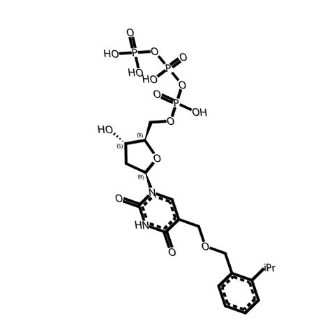 CC(C)c1ccccc1COCc1cn([C@H]2C[C@H](O)[C@@H](COP(=O)(O)OP(=O)(O)OP(=O)(O)O)O2)c(=O)[nH]c1=O